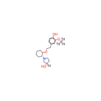 [2H]C([2H])([2H])Oc1cc(CCO[C@@H]2CCCC[C@H]2N2CC[C@@]([2H])(O)C2)ccc1O